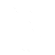 CCn1nccc1C(=O)NC(C(=O)Nc1ccc(-c2c(C)n[nH]c2C)c(OC)n1)C(C1CC1)C1CC1